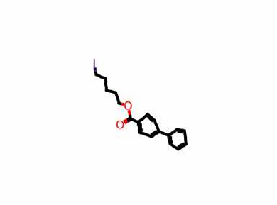 O=C(OCCCCCI)c1ccc(-c2ccccc2)cc1